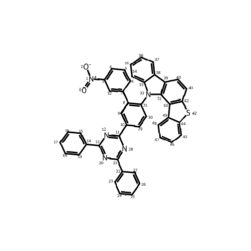 O=[N+]([O-])c1cccc(-c2cc(-c3nc(-c4ccccc4)nc(-c4ccccc4)n3)ccc2-n2c3ccccc3c3ccc4sc5ccccc5c4c32)c1